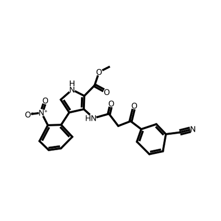 COC(=O)c1[nH]cc(-c2ccccc2[N+](=O)[O-])c1NC(=O)CC(=O)c1cccc(C#N)c1